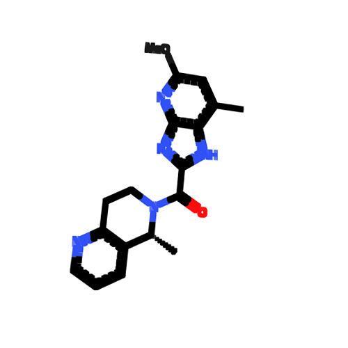 COc1cc(C)c2[nH]c(C(=O)N3CCc4ncccc4[C@H]3C)nc2n1